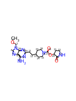 COCn1cnc2c(N)nc(CCC3CCN(C(=O)OC4CCNC4=O)CC3)nc21